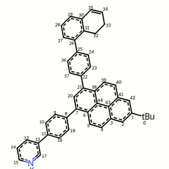 CC(C)(C)c1cc2ccc3c(-c4ccc(-c5cccnc5)cc4)cc(-c4ccc(-c5cccc6c5CCC=C6)cc4)c4ccc(c1)c2c34